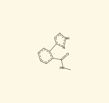 CNC(=O)c1ccccc1-c1cc[nH]n1